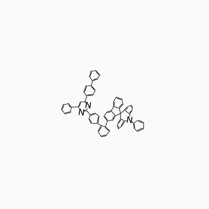 c1ccc(-c2ccc(-c3cc(-c4ccccc4)nc(-c4ccc(-c5ccccc5-c5ccc6c(c5)C5(c7ccccc7-6)c6ccccc6N(c6ccccc6)c6ccccc65)cc4)n3)cc2)cc1